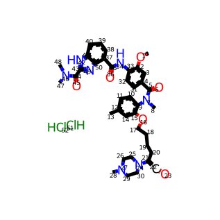 COc1cc(C(=O)N(C)c2ccc(C)cc2OCCCCC(=C=O)N2CCN(C)CC2)ccc1NC(=O)c1cccc2[nH]c(C(=O)N(C)C)nc12.Cl.Cl